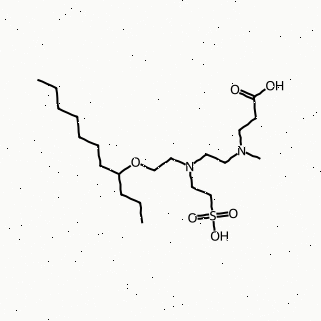 CCCCCCCC(CCC)OCCN(CCN(C)CCC(=O)O)CCS(=O)(=O)O